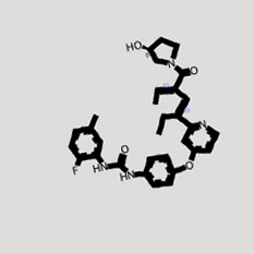 C/C=C(\C=C(/CC)c1cc(Oc2ccc(NC(=O)Nc3cc(C)ccc3F)cc2)ccn1)C(=O)N1CC[C@H](O)C1